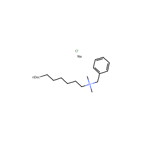 CCCCCCCCCCCCCCCC[N+](C)(C)Cc1ccccc1.[Cl-].[Na]